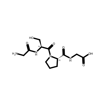 NCC(=O)N[C@@H](CO)C(=O)N1CCC[C@H]1C(=O)NCC(=O)O